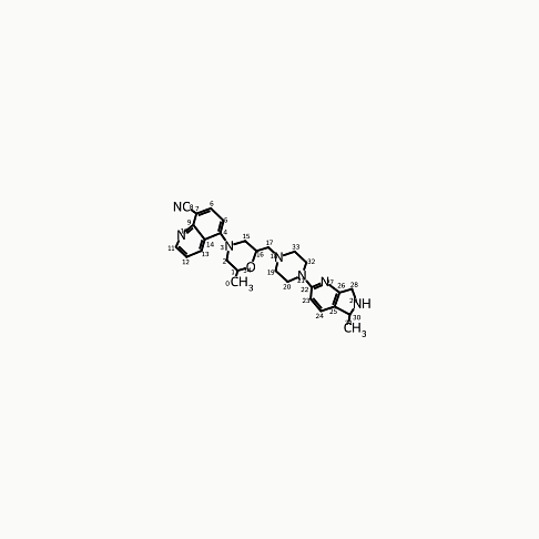 CC1CN(c2ccc(C#N)c3ncccc23)CC(CN2CCN(c3ccc4c(n3)CNC4C)CC2)O1